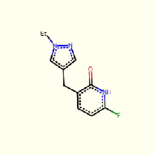 CCn1cc(Cc2ccc(F)[nH]c2=O)cn1